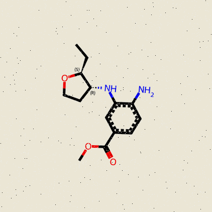 CC[C@@H]1OCC[C@H]1Nc1cc(C(=O)OC)ccc1N